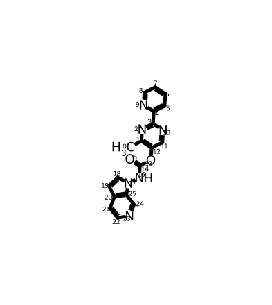 Cc1nc(-c2ccccn2)ncc1OC(=O)Nn1ccc2ccncc21